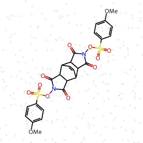 COc1ccc(S(=O)(=O)ON2C(=O)C3C4C=CC(C3C2=O)C2C(=O)N(OS(=O)(=O)c3ccc(OC)cc3)C(=O)C42)cc1